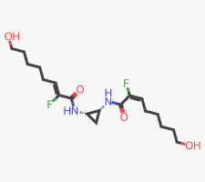 O=C(N[C@H]1C[C@H]1NC(=O)/C(F)=C\CCCCCO)/C(F)=C/CCCCCO